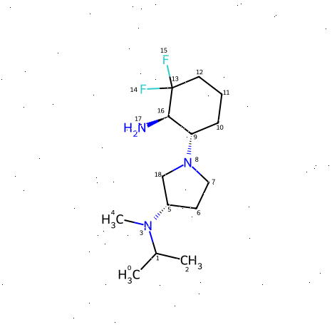 CC(C)N(C)[C@H]1CCN([C@H]2CCCC(F)(F)[C@@H]2N)C1